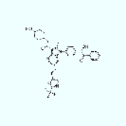 Cc1c(C(=O)CC2CCC(O)CC2)c2ncc(/C=C/c3nnc(C(F)(F)F)o3)cc2n1-c1ccc(C(O)C(=O)c2ccccc2)cc1